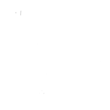 Cc1ccc(C(=O)c2ccccc2)s1